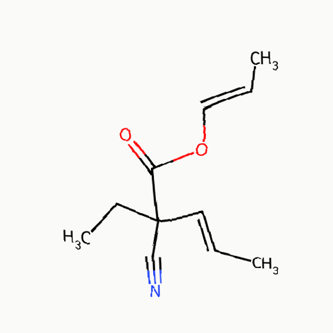 CC=COC(=O)C(C#N)(C=CC)CC